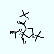 C[SiH](C)O[C@]1(C=O)C[C@H](C(C)(C)C)CN1C(=O)OC(C)(C)C